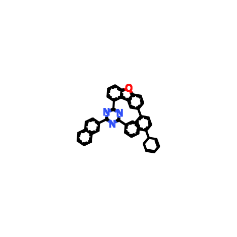 C1=CCC(c2ccc(-c3ccc4oc5cccc(-c6nc(-c7ccccc7)nc(-c7ccc8ccccc8c7)n6)c5c4c3)cc2)C=C1